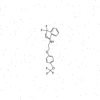 O=C(NCCOc1ccc(OC(F)(F)F)cc1)c1ccccc1C(F)(F)F